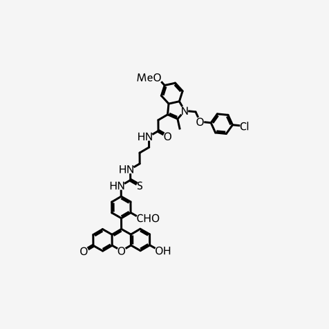 COC1=CC2C(CC(=O)NCCCNC(=S)Nc3ccc(-c4c5ccc(=O)cc-5oc5cc(O)ccc45)c(C=O)c3)=C(C)N(COc3ccc(Cl)cc3)C2C=C1